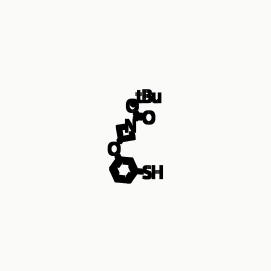 CC(C)(C)OC(=O)N1CC(Oc2cccc(S)c2)C1